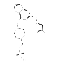 Cc1cc(Nc2nc(NC3CCC(CCS(=O)(=O)O)CC3)c3sccc3n2)sn1